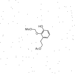 COCOc1c(O)cccc1CCOC(C)=O